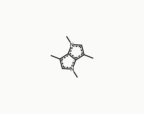 Cc1cn(C)c2c(C)cn(C)c12